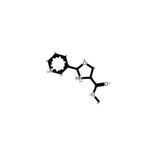 COC(=O)C1COC(c2cccnc2)N1